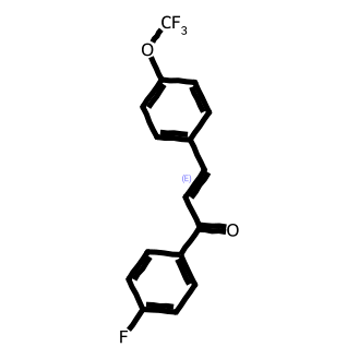 O=C(/C=C/c1ccc(OC(F)(F)F)cc1)c1ccc(F)cc1